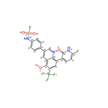 COc1c(C(F)(F)F)cc(-c2ccc(C)[nH]c2=O)c2ncc(-c3ccc(NS(C)(=O)=O)cc3)cc12